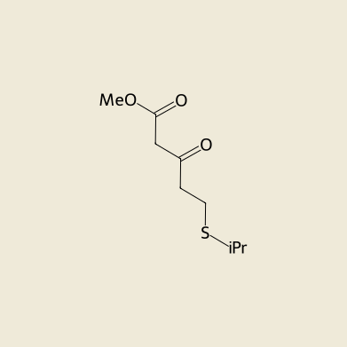 COC(=O)CC(=O)CCSC(C)C